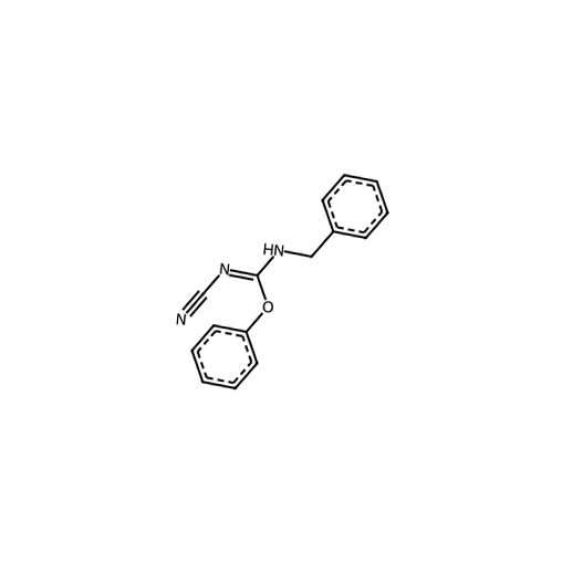 N#CN=C(NCc1ccccc1)Oc1ccccc1